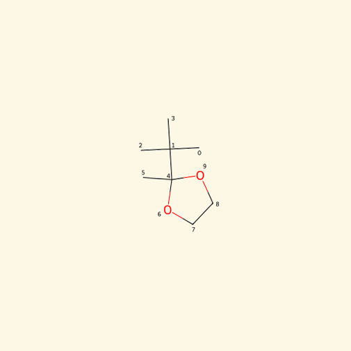 CC(C)(C)C1(C)OCCO1